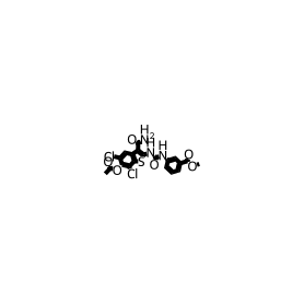 COC(=O)c1cccc(NC(=O)Nc2sc3c(Cl)c(OC(C)=O)c(Cl)cc3c2C(N)=O)c1